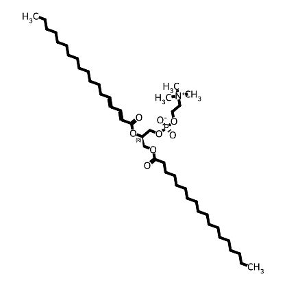 CCCCCCCCCCCCCC=CC=CC(=O)O[C@H](COC(=O)CCCCCCCCCCCCCCCCC)COP(=O)([O-])OCC[N+](C)(C)C